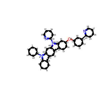 c1ccc(-n2c3ccccc3c3cc4c5ccc(Oc6cccc(-c7ccccn7)c6)cc5n(-c5ccccn5)c4cc32)cc1